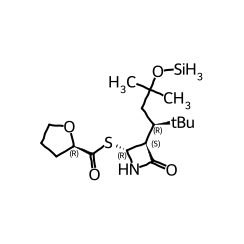 CC(C)(C[C@H]([C@H]1C(=O)N[C@@H]1SC(=O)[C@H]1CCCO1)C(C)(C)C)O[SiH3]